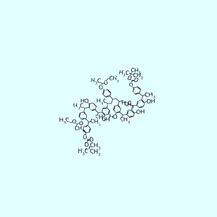 CCOC(C)Oc1ccc(C(CC(C)c2ccc(O)c(C(C)c3ccc(O)c(C(C)c4ccc(OC(C)OCC)c(C(C)c5ccc(OC(=O)OC(C)(C)C)cc5)c4)c3)c2)CC(CC)c2ccc(O)c(C(C)c3ccc(O)c(C(C)c4ccc(O)c(C(C)c5ccc(OC(=O)OC(C)(C)C)cc5)c4)c3)c2)cc1